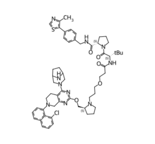 Cc1ncsc1-c1ccc(CNC(=O)[C@@H]2CCCN2C(=O)[C@@H](NC(=O)CCOCCCN2CCC[C@H]2COc2nc3c(c(N4CC5CCC(C4)N5)n2)CCN(c2cccc4cccc(Cl)c24)C3)C(C)(C)C)cc1